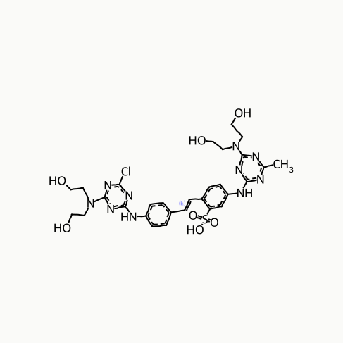 Cc1nc(Nc2ccc(/C=C/c3ccc(Nc4nc(Cl)nc(N(CCO)CCO)n4)cc3)c(S(=O)(=O)O)c2)nc(N(CCO)CCO)n1